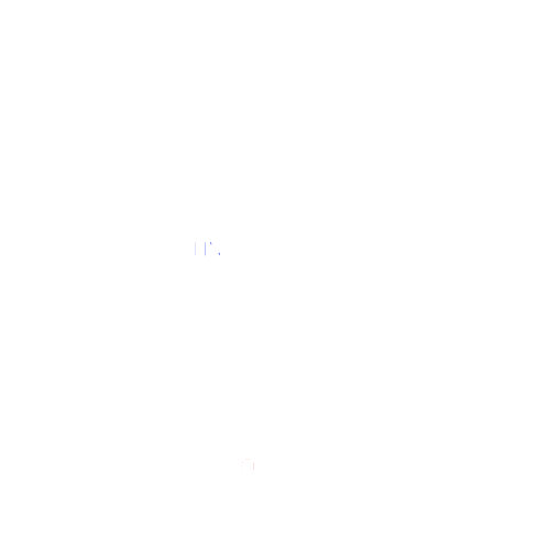 Cc1cccc(CNc2ccc3oc4ccccc4c3c2)c1